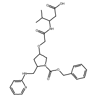 CC(C)C(CC(=O)O)NC(=O)COC1CC(CNc2ccccn2)N(C(=O)OCc2ccccc2)C1